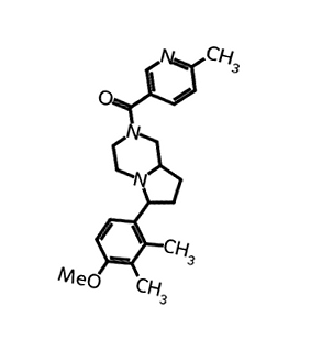 COc1ccc(C2CCC3CN(C(=O)c4ccc(C)nc4)CCN32)c(C)c1C